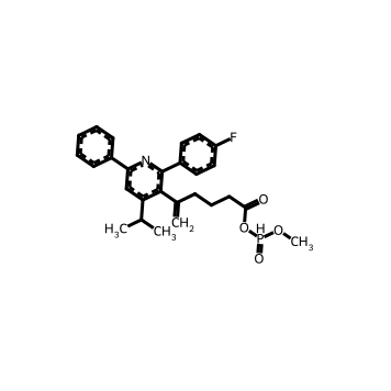 C=C(CCCC(=O)O[PH](=O)OC)c1c(C(C)C)cc(-c2ccccc2)nc1-c1ccc(F)cc1